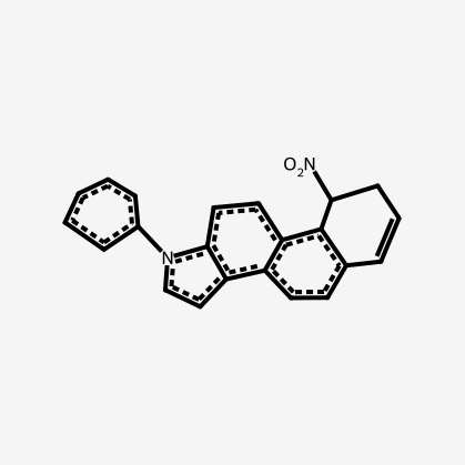 O=[N+]([O-])C1CC=Cc2ccc3c(ccc4c3ccn4-c3ccccc3)c21